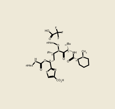 CCCCCCNC(=O)O[C@H](C[C@H](C(C)C)N(OCCCCCC)C(=O)[C@@H](NC(=O)[C@H]1CCCCN1C)[C@@H](C)CC)c1nc(C(=O)O)cs1.O=C(O)C(F)(F)F